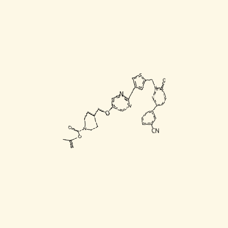 C=C(C)OC(=O)N1CCC(COc2cnc(-c3csc(Cn4nc(-c5cccc(C#N)c5)ccc4=O)c3)nc2)CC1